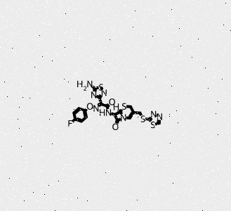 Nc1nc(C(=NOc2ccc(F)cc2)C(=O)NC2C(=O)N3C=C(CSc4nncs4)CS[C@@H]23)ns1